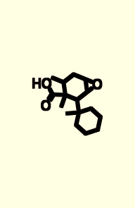 CC1CC2OC2C(C2(C)CCCCC2)C1(C)C(=O)O